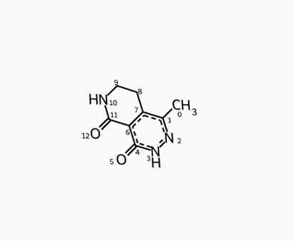 Cc1n[nH]c(=O)c2c1CCNC2=O